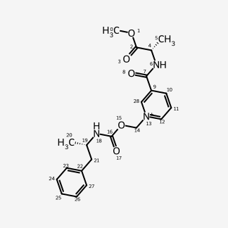 COC(=O)[C@H](C)NC(=O)c1ccc[n+](COC(=O)N[C@@H](C)Cc2ccccc2)c1